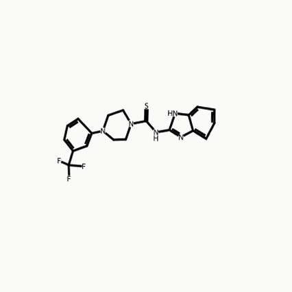 FC(F)(F)c1cccc(N2CCN(C(=S)Nc3nc4ccccc4[nH]3)CC2)c1